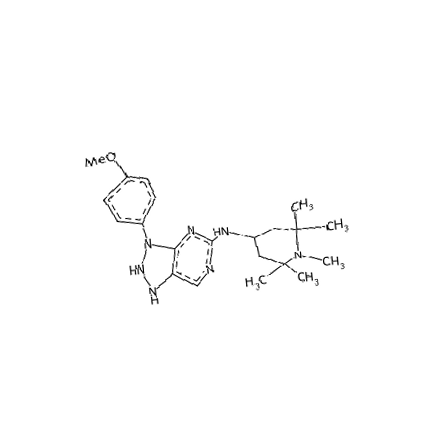 COc1ccc(N2NNc3cnc(NC4CC(C)(C)N(C)C(C)(C)C4)nc32)cc1